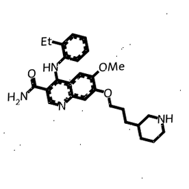 CCc1ccccc1Nc1c(C(N)=O)cnc2cc(OCCCC3CCCNC3)c(OC)cc12